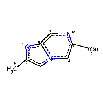 CCCCc1cn2cc(C)nc2cn1